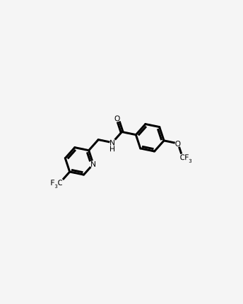 O=C(NCc1ccc(C(F)(F)F)cn1)c1ccc(OC(F)(F)F)cc1